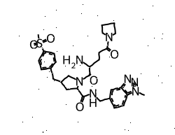 Cn1nnc2cc(CNC(=O)C3CC(Cc4ccc(S(C)(=O)=O)cc4)CN3C(=O)C(N)CCC(=O)N3CCCC3)ccc21